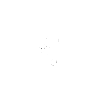 BC1CN(P(=O)(C(=O)OCc2ccccc2)N(C)C)CC(OC)O1